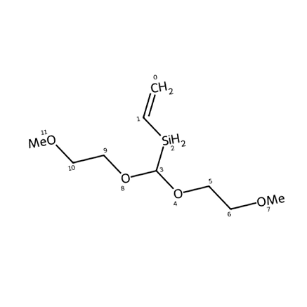 C=C[SiH2]C(OCCOC)OCCOC